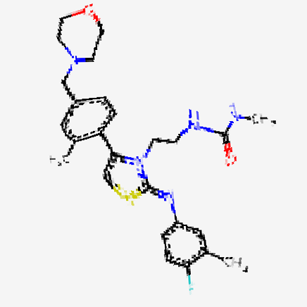 CNC(=O)NCCn1c(-c2ccc(CN3CCOCC3)cc2C)csc1=Nc1ccc(F)c(C)c1